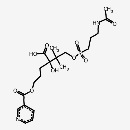 CC(=O)NCCCS(=O)(=O)OCC(C)(C)[C@](O)(CCCOC(=O)c1cccnc1)C(=O)O